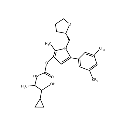 Cc1c(OC(=O)NC(C)C(O)C2CC2)cc(-c2cc(C(F)(F)F)cc(C(F)(F)F)c2)n1C[C@H]1CCCO1